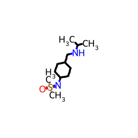 CC(C)NCC1CCC(N=S(C)(C)=O)CC1